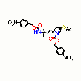 CC(=O)S[C@H]1C[C@@H](CCC(C)(C)NC(=O)OCc2ccc([N+](=O)[O-])cc2)N(C(=O)OCc2ccc([N+](=O)[O-])cc2)C1